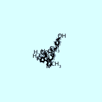 Cc1cncc2c(-c3ccc(F)cc3C(=O)N(C)C(C)C)cc(CC3CN([C@@H](CCCN4CCN(CCO)CC4)C(C)C)C3)n12